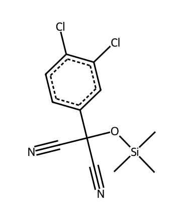 C[Si](C)(C)OC(C#N)(C#N)c1ccc(Cl)c(Cl)c1